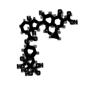 COc1c(N2C[C@H]3CCCN(C(=O)Oc4ccc(CC(O)(P(=O)(O)O)P(=O)(O)O)cc4)[C@H]3C2)c(F)cc2c(=O)c(C(=O)O)cn(C3CC3)c12